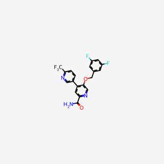 NC(=O)c1cc(-c2ccc(C(F)(F)F)nc2)c(OCc2cc(F)cc(F)c2)cn1